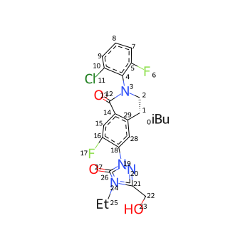 CC[C@H](C)[C@H]1CN(c2c(F)cccc2Cl)C(=O)c2cc(F)c(-n3nc(CO)n(CC)c3=O)cc21